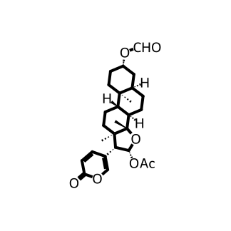 CC(=O)O[C@H]1O[C@@]2(C)[C@@H]3CC[C@@H]4C[C@@H](OC=O)CC[C@]4(C)[C@H]3CC[C@]2(C)[C@H]1c1ccc(=O)oc1